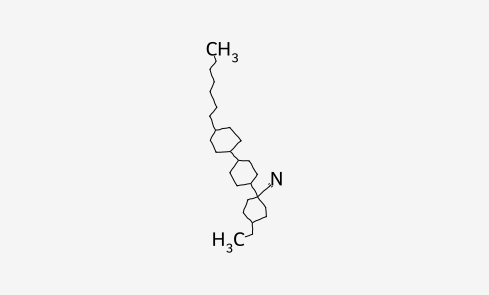 CCCCCCCC1CCC(C2CCC(C3(C#N)CCC(CC)CC3)CC2)CC1